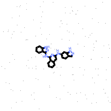 c1ccc2c(Nc3n[nH]c4ccccc34)nc(Nc3ccc4cn[nH]c4c3)cc2c1